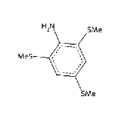 CSc1cc(SC)c(N)c(SC)c1